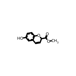 COC(=O)C1C=Cc2cc(O)ccc2O1